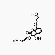 CCCCCCC=COc1c(O)c2cccc(OCCCO)c2oc1=O